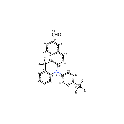 CC1(C)c2ccccc2N(c2ccc([Si](C)(C)C)cc2)c2ccc3cc(C=O)ccc3c21